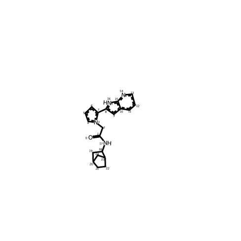 O=C(Cn1cccc1-c1cc2cccnc2[nH]1)NC1CC2CCC1C2